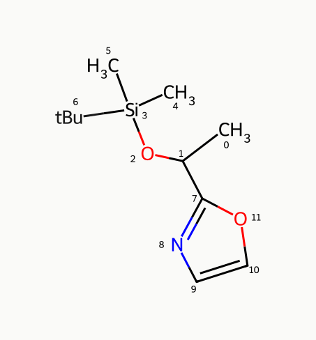 CC(O[Si](C)(C)C(C)(C)C)c1ncco1